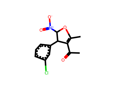 CC(=O)C1=C(C)OC([N+](=O)[O-])C1c1cccc(Cl)c1